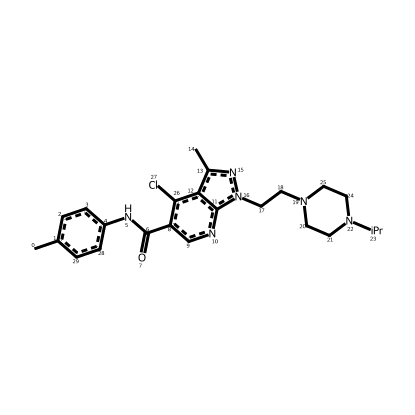 Cc1ccc(NC(=O)c2cnc3c(c(C)nn3CCN3CCN(C(C)C)CC3)c2Cl)cc1